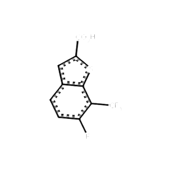 O=C(O)c1cc2ccc(F)c(C(F)(F)F)c2s1